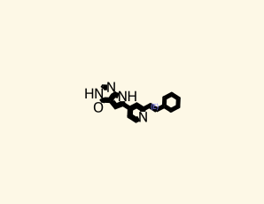 O=c1[nH]cnc2[nH]c(-c3ccnc(/C=C/C4CCCCC4)c3)cc12